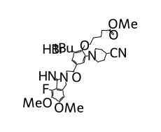 Br.COC(=O)CCCCOc1c(N2CCC(C#N)CC2)cc(C(=O)CN2Cc3cc(OC)c(OC)c(F)c3C2=N)cc1C(C)(C)C